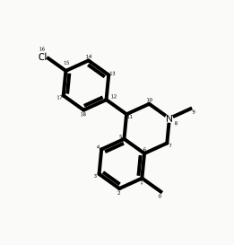 Cc1cccc2c1CN(C)CC2c1ccc(Cl)cc1